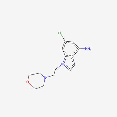 Nc1cc(Cl)cc2c1ccn2CCN1CCOCC1